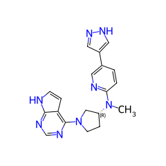 CN(c1ccc(-c2cn[nH]c2)cn1)[C@@H]1CCN(c2ncnc3[nH]ccc23)C1